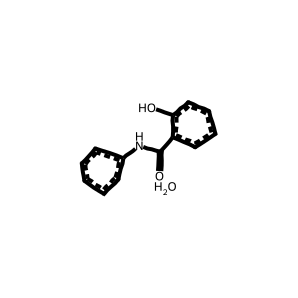 O.O=C(Nc1ccccc1)c1ccccc1O